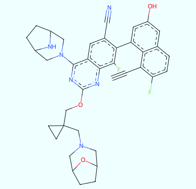 C#Cc1c(F)ccc2cc(O)cc(-c3c(C#N)cc4c(N5CC6CCC(C5)N6)nc(OCC5(CN6CC7CCC(C6)O7)CC5)nc4c3F)c12